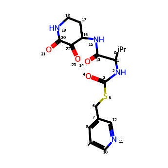 CC(C)C(NC(=O)SCc1cccnc1)C(=O)NC1CCNC(=O)C1=O